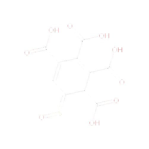 O=S=C1C=C(C(=O)O)C(C(=O)O)=C(C(=O)O)C1C(=O)O